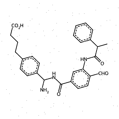 CC(C(=O)Nc1cc(C(=O)NC(N)c2ccc(CCCC(=O)O)cc2)ccc1C=O)c1ccccc1